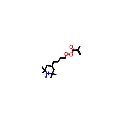 C=C(C)C(=O)OOCCCCC1CC(C)(C)N(C)C(C)(C)C1